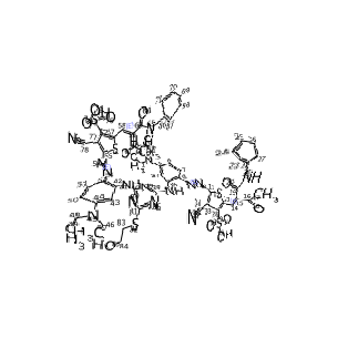 CCN(CC)c1ccc(/N=N/c2sc(/C=C(/C(C)=O)C(=O)Nc3ccccc3)c(S(=O)(=O)O)c2C#N)c(Nc2nc(Nc3cc(N(CC)CC)ccc3/N=N/c3sc(/C=C(\C(C)=O)C(=O)Nc4ccccc4)c(S(=O)(=O)O)c3C#N)nc(SCCO)n2)c1